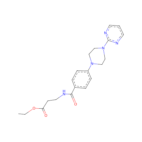 CCOC(=O)CCNC(=O)c1ccc(N2CCN(c3ncccn3)CC2)cc1